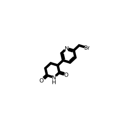 O=C1CCC(c2ccc(CBr)nc2)C(=O)N1